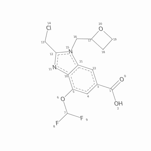 O=C(O)c1cc(OC(F)F)c2nc(CCl)n(CC3CCO3)c2c1